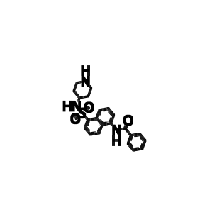 O=C(Nc1cccc2c(S(=O)(=O)NC3CCNCC3)cccc12)c1ccccc1